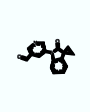 O=Cc1cncc(N2C(=O)C3(CC3)c3ccccc32)c1